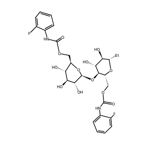 CC[C@@H]1O[C@H](COC(=O)Nc2ccccc2F)[C@@H](O[C@@H]2O[C@H](COC(=O)Nc3ccccc3F)[C@@H](O)[C@H](O)[C@H]2O)[C@H](O)[C@H]1O